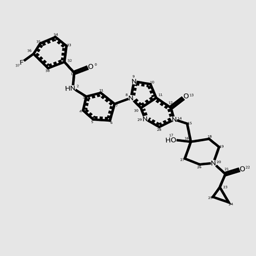 O=C(Nc1cccc(-n2ncc3c(=O)n(CC4(O)CCN(C(=O)C5CC5)CC4)cnc32)c1)c1cccc(F)c1